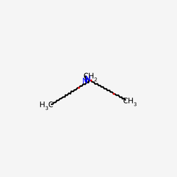 [CH2]Cc1nc(CCCCCCCCCCCCCCCCCCCCCCCC)cc(CCCCCCCCCCCCCCCCCCCCCCCC)n1